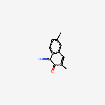 CC1=Cc2cc(C)ccc2C(=N)C1=O